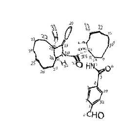 O=Cc1ccc(C(=O)N[C@H]2CCCCCC[C@H]2C(=O)N2C(=O)[C@@H]3CCCCCC[C@@H]32)cc1